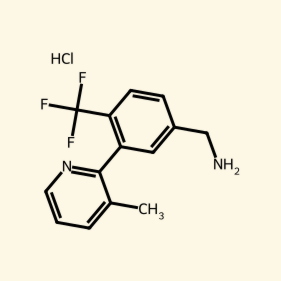 Cc1cccnc1-c1cc(CN)ccc1C(F)(F)F.Cl